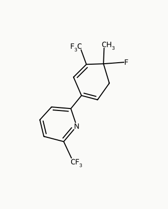 CC1(F)CC=C(c2cccc(C(F)(F)F)n2)C=C1C(F)(F)F